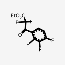 CCOC(=O)C(F)(F)C(=O)c1ccc(F)c(F)c1F